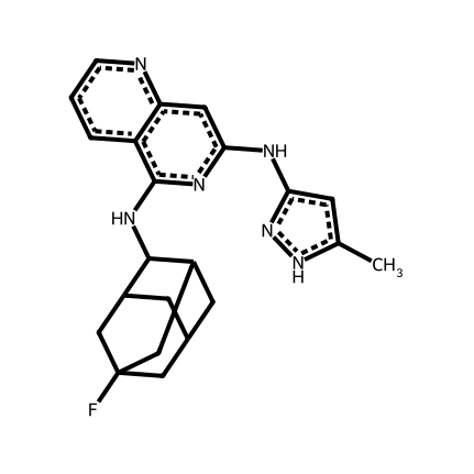 Cc1cc(Nc2cc3ncccc3c(NC3C4CC5CC3CC(F)(C5)C4)n2)n[nH]1